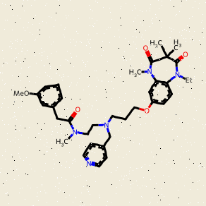 CCN1C(=O)C(C)(C)C(=O)N(C)c2cc(OCCCN(CCN(C)C(=O)Cc3cccc(OC)c3)Cc3ccncc3)ccc21